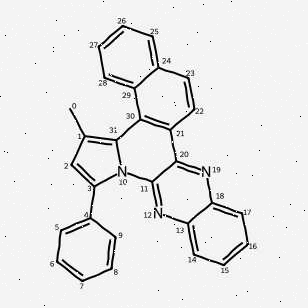 Cc1cc(-c2ccccc2)n2c3nc4ccccc4nc3c3ccc4ccccc4c3c12